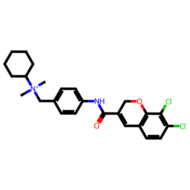 C[N+](C)(Cc1ccc(NC(=O)C2=Cc3ccc(Cl)c(Cl)c3OC2)cc1)C1CCCCC1